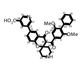 COc1cc(C(=O)[C@@H]2C(=O)c3cc(-c4cncc(C(=O)O)c4)ccc3OC23CCNCC3)cc(OC)c1-c1ccccc1